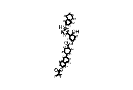 C=C(F)C(=O)Oc1ccc2cc(C3CCC(C(=O)Oc4ccc(O)c(-c5nnc(Nc6ccc7c(c6)CCCC7)s5)c4)CC3)ccc2c1